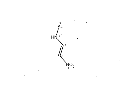 CC(=O)N/C=C/[N+](=O)[O-]